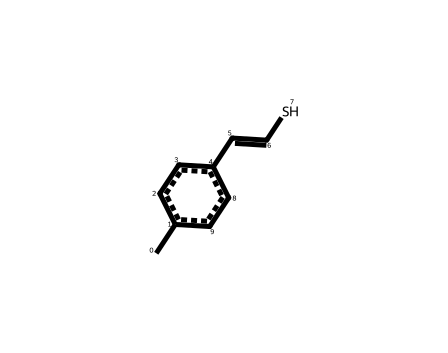 Cc1ccc(C=CS)cc1